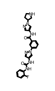 O=C(Nc1cnn(-c2cccc(C(=O)Nc3cnn(C4CCNC4)c3)c2)c1)Nc1ccccc1F